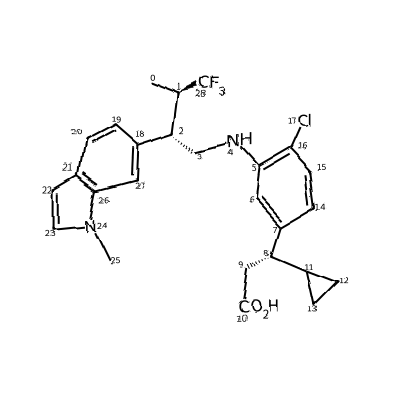 C[C@H]([C@H](CNc1cc([C@@H](CC(=O)O)C2CC2)ccc1Cl)c1ccc2ccn(C)c2c1)C(F)(F)F